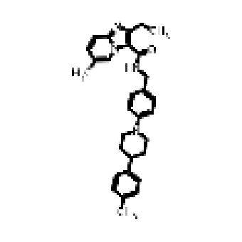 CCc1nc2ccc(C)cn2c1C(=O)NCc1ccc(N2CCC(c3ccc(C)cc3)CC2)cc1